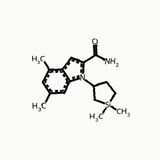 Cc1cc(C)c2cc(C(N)=O)n(C3CC[Si](C)(C)C3)c2c1